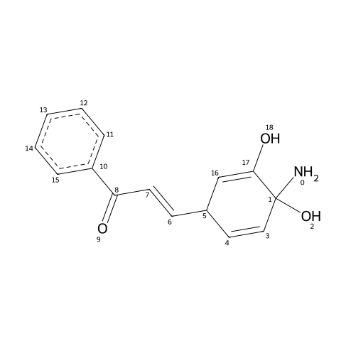 NC1(O)C=CC(/C=C/C(=O)c2ccccc2)C=C1O